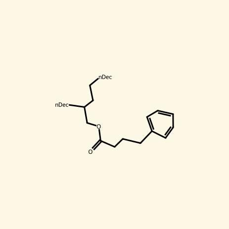 CCCCCCCCCCCCC(CCCCCCCCCC)COC(=O)CCCc1ccccc1